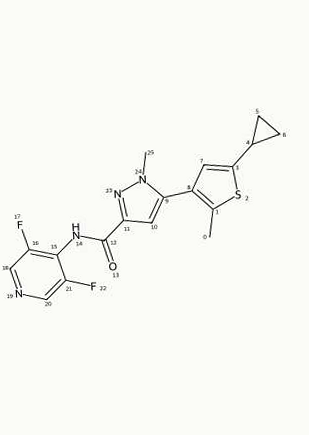 Cc1sc(C2CC2)cc1-c1cc(C(=O)Nc2c(F)cncc2F)nn1C